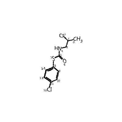 CC(Cl)CNC(=O)Sc1ccc(Cl)cc1